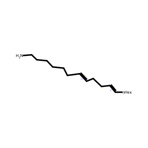 CCCCCC/C=C/CC/C=C/CCCCCCN